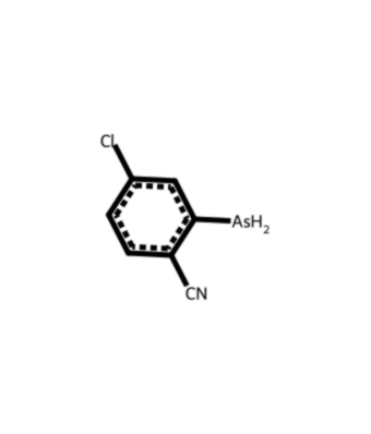 N#Cc1ccc(Cl)cc1[AsH2]